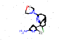 CCc1nc(N)ccc1-c1c(F)ccc2ccc(N3CCOCC3)nc12